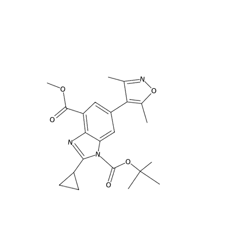 COC(=O)c1cc(-c2c(C)noc2C)cc2c1nc(C1CC1)n2C(=O)OC(C)(C)C